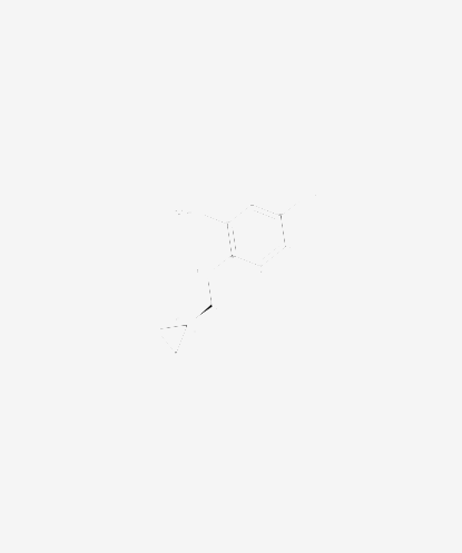 COc1cc(Cl)ccc1OC[C@H]1CO1